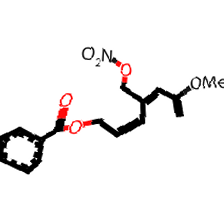 C=C(/C=C(\C=C/COC(=O)c1ccccc1)CO[N+](=O)[O-])OC